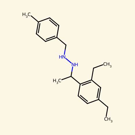 CCc1ccc(C(C)NNCc2ccc(C)cc2)c(CC)c1